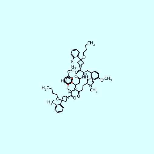 CCCCOC1(c2ccccc2C)CN(C(=O)[C@@H](Cc2ccc(OC)cc2)N(C(=O)CCc2cncn2C)C(CC(=O)N[C@H](Cc2ccc(OC)cc2)C(=O)N2CC(OCCCC)(c3ccccc3F)C2)c2c[nH]cn2)C1